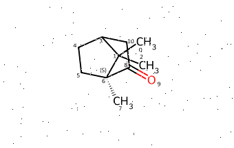 CC1(C)C2CC[C@]1(C)C(=O)C2